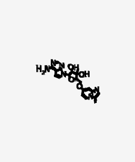 Cc1cnc2cc(OC[C@H]3OC(n4ccc5c(N)ncnc54)C(O)C3(C)O)ccn12